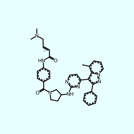 Cc1cccn2nc(-c3ccccc3)c(-c3ccnc(NC4CCN(C(=O)c5ccc(NC(=O)/C=C/CN(C)C)cc5)C4)n3)c12